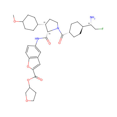 COC1CCC([C@@H]2CCN(C(=O)[C@H]3CC[C@H]([C@H](N)CF)CC3)[C@@H]2C(=O)Nc2ccc3oc(C(=O)OC4CCOC4)cc3c2)CC1